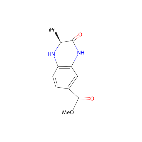 COC(=O)c1ccc2c(c1)NC(=O)[C@H](C(C)C)N2